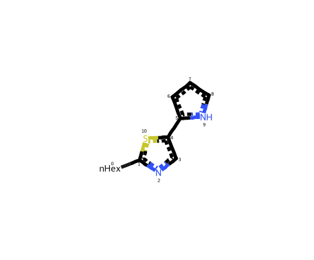 CCCCCCc1ncc(-c2ccc[nH]2)s1